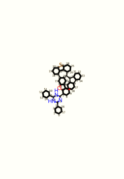 c1ccc(C2=NC(c3cccc4c3oc3cc(-c5cccc6sc7cccc(CC8c9ccccc9-c9ccccc98)c7c56)ccc34)NC(c3ccccc3)N2)cc1